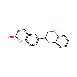 O=c1ccc2cc(C3COc4ccccc4C3)ccc2o1